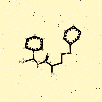 CC(CCCc1ccccc1)C(=O)NC(C)c1ccccc1